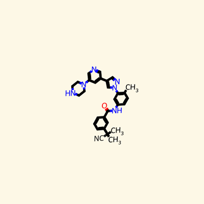 Cc1ccc(NC(=O)c2cccc(C(C)(C)C#N)c2)cc1-n1cc(-c2cncc(N3CCNCC3)c2)cn1